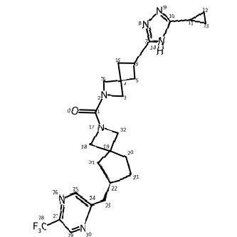 O=C(N1CC2(CC(c3nnc(C4CC4)[nH]3)C2)C1)N1CC2(CC[C@@H](Cc3cnc(C(F)(F)F)cn3)C2)C1